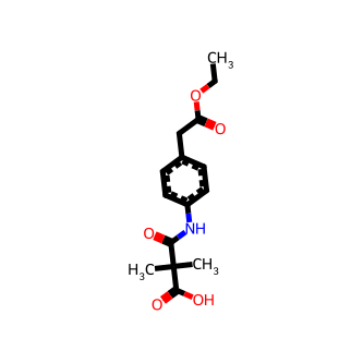 CCOC(=O)Cc1ccc(NC(=O)C(C)(C)C(=O)O)cc1